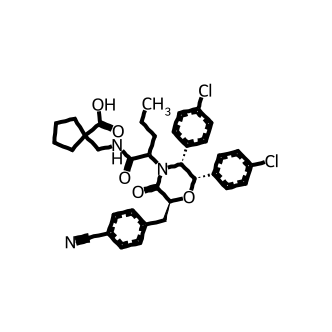 CCCC(C(=O)NCC1(C(=O)O)CCCC1)N1C(=O)[C@H](Cc2ccc(C#N)cc2)O[C@@H](c2ccc(Cl)cc2)[C@H]1c1ccc(Cl)cc1